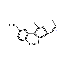 C/C=C\c1cc(C)c(-c2cc(C=O)ccc2OC)c(C)c1